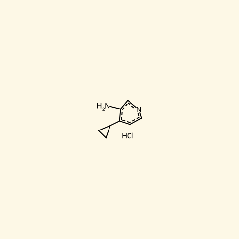 Cl.Nc1cnccc1C1CC1